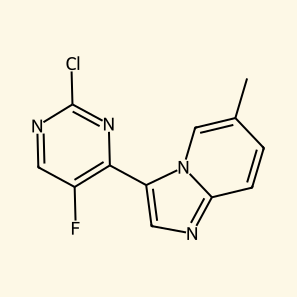 Cc1ccc2ncc(-c3nc(Cl)ncc3F)n2c1